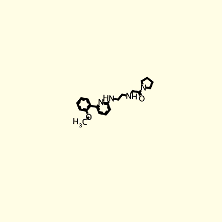 COc1ccccc1-c1cccc(NCCNCC(=O)N2CCCC2)n1